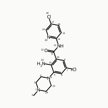 CN1CCN(c2cc(Cl)cc(C(=O)Nc3ccc(Cl)cn3)c2N)CC1